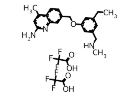 CCc1cc(CNC)cc(OCc2ccc3c(C)cc(N)nc3c2)c1.O=C(O)C(F)(F)F.O=C(O)C(F)(F)F